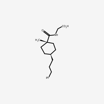 CC(C)CCC[C@H]1CC[C@](C)(C(=O)NCC(=O)O)CC1